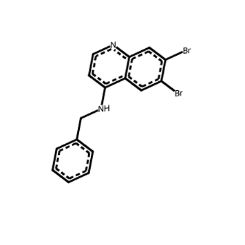 Brc1cc2nccc(NCc3ccccc3)c2cc1Br